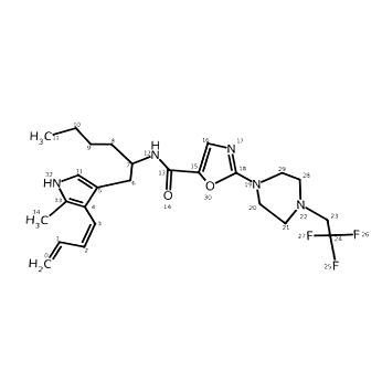 C=C/C=C\c1c(CC(CCCC)NC(=O)c2cnc(N3CCN(CC(F)(F)F)CC3)o2)c[nH]c1C